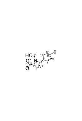 O=[N+]([O-])c1cnc(-c2ccc(F)cc2)n1CO